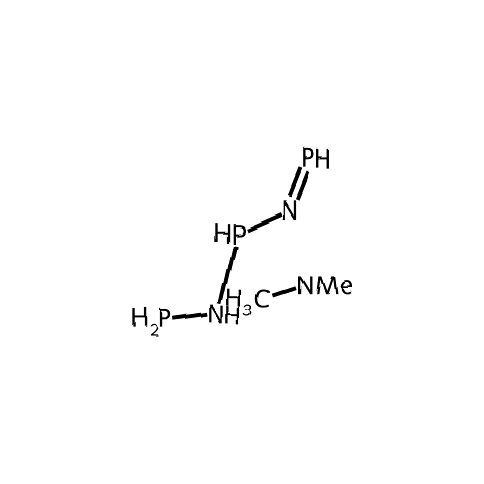 CNC.P=NPNP